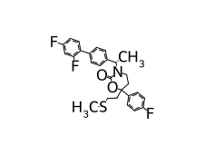 CSCCC1(c2ccc(F)cc2)CCN([C@@H](C)c2ccc(-c3ccc(F)cc3F)cc2)C(=O)O1